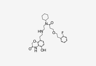 O=C1COc2c(CCNCCN(C(=O)CCOCCc3ccccc3F)C3CCCCC3)ccc(O)c2N1